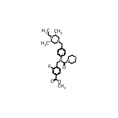 CCN1[C@H](C)CN(Cc2ccc(N(Cc3ccc(C(=O)OC)cc3F)C(=O)N3CCSCC3)cc2)C[C@@H]1C